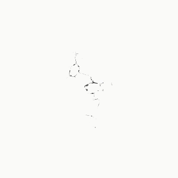 N/N=c1\[nH]c(N2CCC3(CCOC3)CC2)ncc1Sc1cc(N)nc(Cl)c1Cl